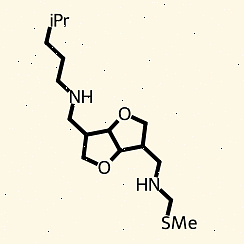 CSCNCC1COC2C(CNCCCC(C)C)COC12